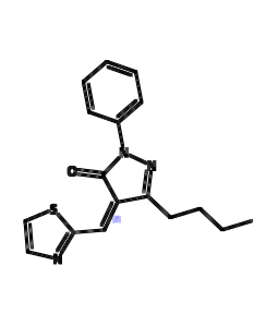 CCCCC1=NN(c2ccccc2)C(=O)/C1=C\c1nccs1